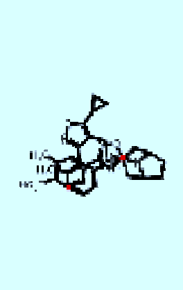 Cc1cc(-c2noc(N3C4CCC3CC(OCc3c(-c5c(C)cccc5C)noc3C3CC3)C4)n2)ccc1C(=O)O